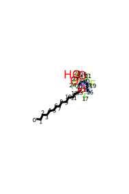 CCCCCCCCCCCCCCOC(=C\F)/C(F)=C(F)\C(=C\F)S(=O)(=O)O